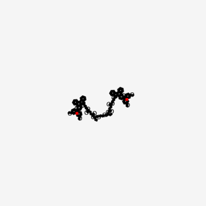 CCC(COCCOCC(CC)OC(=O)CCC(=O)OCCOC1(C)c2ccccc2-c2c1c1c(c3ccccc23)OC(c2ccc(OC)cc2)(c2ccc(OC)cc2)C=C1)OC(=O)CCC(=O)OCCOC1(C)c2ccccc2-c2c1c1c(c3ccccc23)OC(c2ccc(OC)cc2)(c2ccc(OC)cc2)C=C1